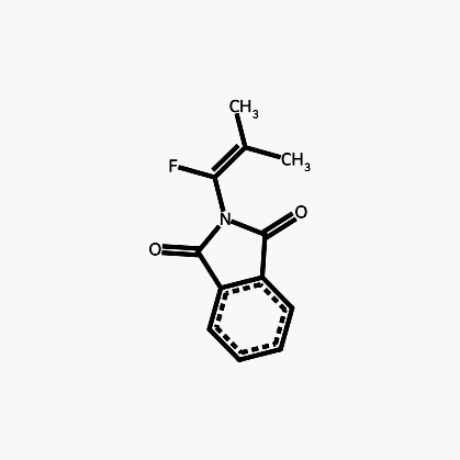 CC(C)=C(F)N1C(=O)c2ccccc2C1=O